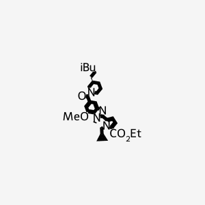 CCOC(=O)c1ccc(-c2nc3cc(C(=O)N4CCC[C@@H](CCC(C)CC)C4)cc(OC)c3n2C)n1CC1CC1